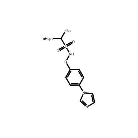 CCCCCCCC(CCCC)S(=O)(=O)NOc1ccc(-n2ccnc2)cc1